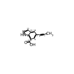 CC#Cc1cc(C(=O)O)c2[nH]ncc2c1